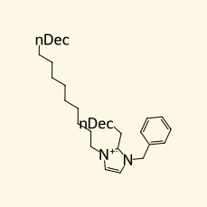 CCCCCCCCCCCCCCCCCCC[n+]1ccn(Cc2ccccc2)c1CCCCCCCCCCC